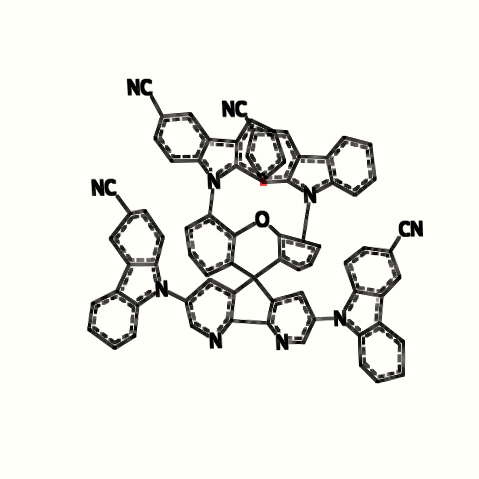 N#Cc1ccc2c(c1)c1ccccc1n2-c1cnc2c(c1)C1(c3cc(-n4c5ccccc5c5cc(C#N)ccc54)cnc3-2)c2cccc(-n3c4ccccc4c4cc(C#N)ccc43)c2Oc2c(-n3c4ccccc4c4cc(C#N)ccc43)cccc21